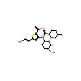 C=C(O)c1sc(C=CC(C)(C)C)cc1N(C(=C)C1CCC(C)CC1)C1CCC(OC)CC1